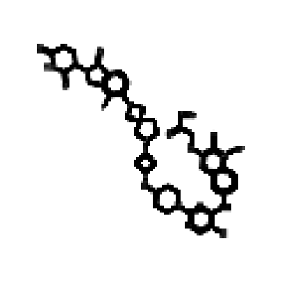 CNC(=O)COc1cc2cc(Nc3nc(N4CCC(O[C@H]5C[C@H](N6CCC7(CN(c8ccc9c(c8F)CN(C8CCC(=O)NC8=O)C9=O)C7)C6)C5)CC4)ncc3Cl)ccc2n(C(C)C)c1=O